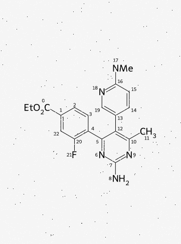 CCOC(=O)c1ccc(-c2nc(N)nc(C)c2-c2ccc(NC)nc2)c(F)c1